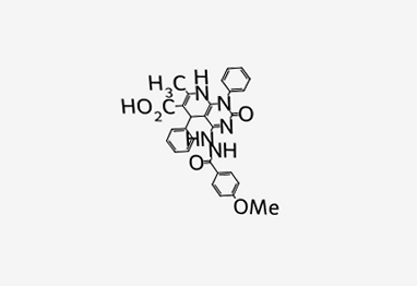 COc1ccc(C(=O)NNc2nc(=O)n(-c3ccccc3)c3c2C(c2ccccc2)C(C(=O)O)=C(C)N3)cc1